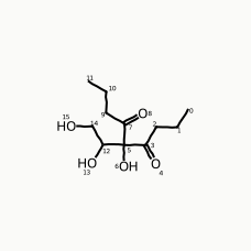 CCCC(=O)C(O)(C(=O)CCC)C(O)CO